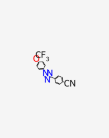 N#Cc1ccc(-c2ncn(-c3ccc(OC(F)(F)F)cc3)n2)cc1